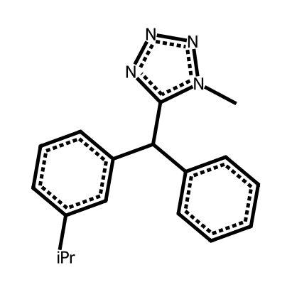 CC(C)c1cccc(C(c2ccccc2)c2nnnn2C)c1